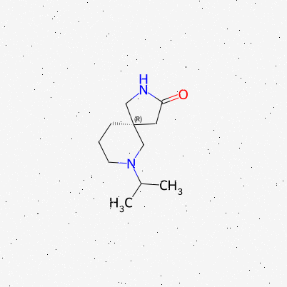 CC(C)N1CCC[C@@]2(CNC(=O)C2)C1